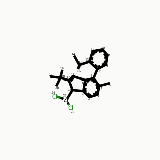 Cc1ccc2c(c1-c1ccccc1C(C)C)C=C(C(C)(C)C)[CH]2[Zr]([Cl])[Cl]